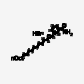 Br.CCCCCCCCC=CCCCCCCCCOCN1C=CC=C(C(N)=O)C1